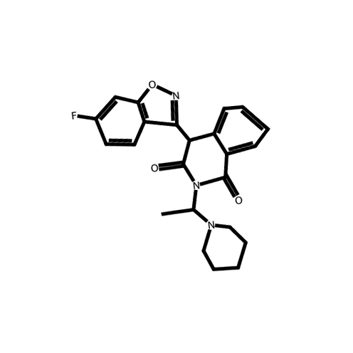 CC(N1CCCCC1)N1C(=O)c2ccccc2C(c2noc3cc(F)ccc23)C1=O